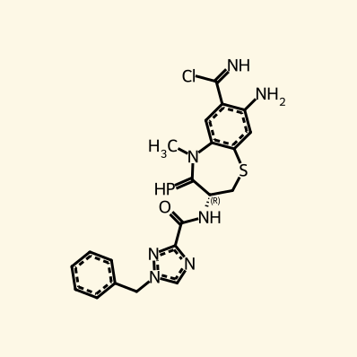 CN1C(=P)[C@@H](NC(=O)c2ncn(Cc3ccccc3)n2)CSc2cc(N)c(C(=N)Cl)cc21